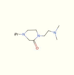 CC(C)N1CCN(CCN(C)C)C(=O)C1